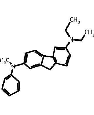 CCN(CC)c1ccc2c(c1)-c1ccc(N(C)c3ccccc3)cc1C2